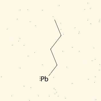 CCC[CH2][Pb]